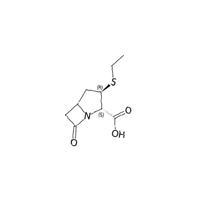 CCS[C@@H]1CC2CC(=O)N2[C@H]1C(=O)O